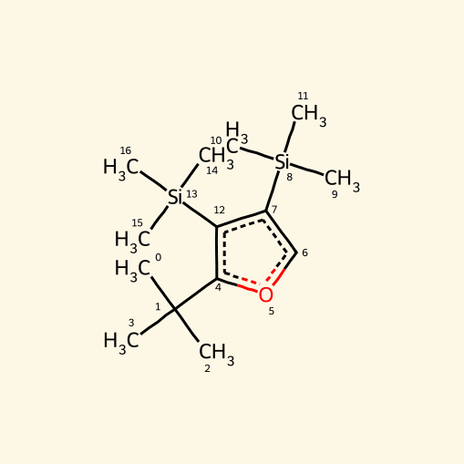 CC(C)(C)c1occ([Si](C)(C)C)c1[Si](C)(C)C